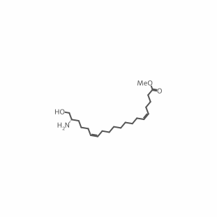 COC(=O)CCC/C=C\CCCCCCC/C=C\CCC[C@H](N)CO